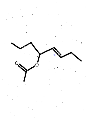 CC/C=C/C(CCC)OC(C)=O